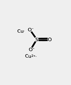 O=S([O-])[O-].[Cu+2].[Cu]